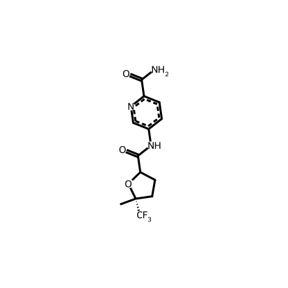 C[C@]1(C(F)(F)F)CCC(C(=O)Nc2ccc(C(N)=O)nc2)O1